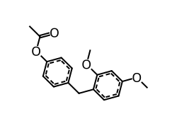 COc1ccc(Cc2ccc(OC(C)=O)cc2)c(OC)c1